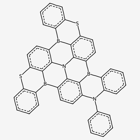 c1ccc(N2c3ccccc3B3c4ccc5c6c4N4c7c(ccc8c7B(c7ccccc7S8)c7ccc2c3c74)B6c2ccccc2S5)cc1